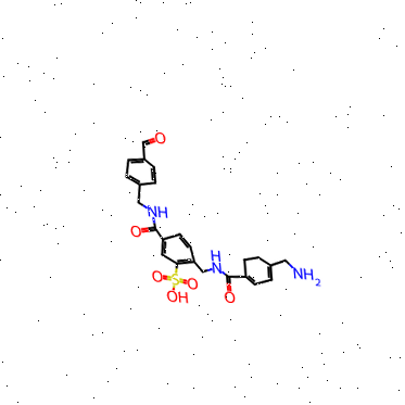 NCC1=CC=C(C(=O)NCc2ccc(C(=O)NCc3ccc(C=O)cc3)cc2S(=O)(=O)O)CC1